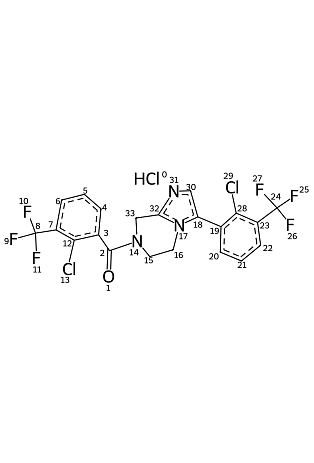 Cl.O=C(c1cccc(C(F)(F)F)c1Cl)N1CCn2c(-c3cccc(C(F)(F)F)c3Cl)cnc2C1